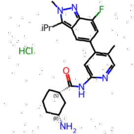 Cc1cnc(NC(=O)[C@H]2CCC[C@@H](N)C2)cc1-c1cc(F)c2nn(C)c(C(C)C)c2c1.Cl